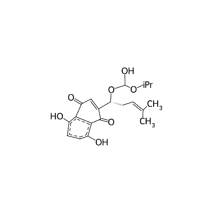 CC(C)=CC[C@@H](OC(O)OC(C)C)C1=CC(=O)c2c(O)ccc(O)c2C1=O